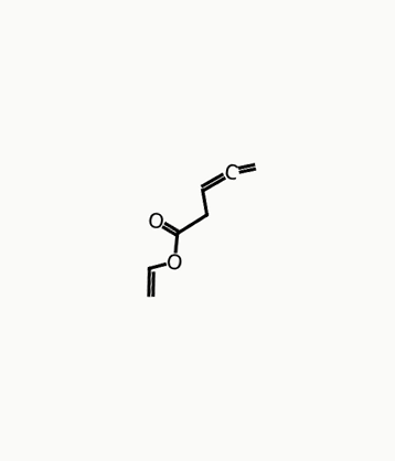 C=C=CCC(=O)OC=C